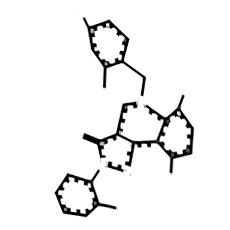 Cc1ccc(Cn2cc3c(=O)n(-c4ccccc4F)nc-3c3c(F)ccc(F)c32)c(F)c1